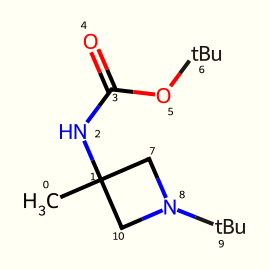 CC1(NC(=O)OC(C)(C)C)CN(C(C)(C)C)C1